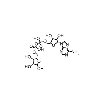 Nc1ncnc2c1ncn2[C@@H]1OC(COP(=O)(O)OP(=O)(O)OC[C@@H]2OC(O)[C@@H](O)[C@H]2O)[C@@H](O)[C@H]1O